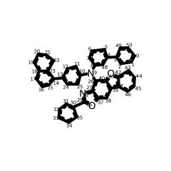 c1ccc(-c2cccc(N(c3ccc(-c4cccc5ccccc45)cc3)c3c4nc(-c5ccccc5)oc4cc4c3oc3ccccc34)c2)cc1